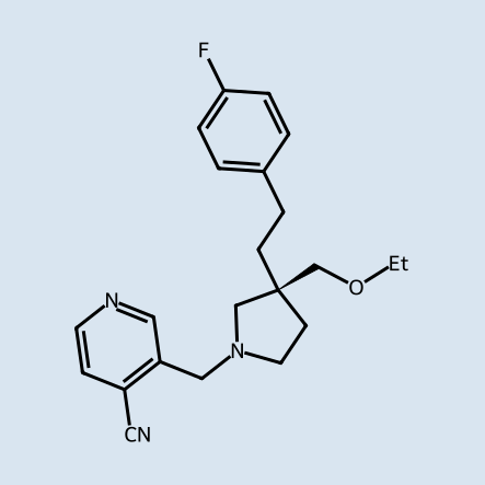 CCOC[C@@]1(CCc2ccc(F)cc2)CCN(Cc2cnccc2C#N)C1